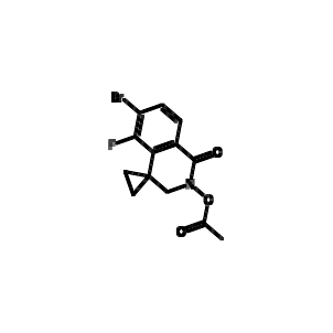 CC(=O)ON1CC2(CC2)c2c(ccc(Br)c2F)C1=O